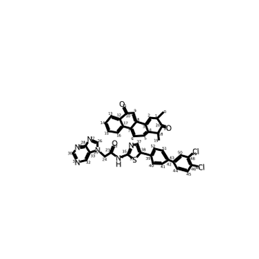 CC1C=c2c(ccc3c2=CC(=O)c2ccccc2-3)C(C)C1=O.O=C(Cn1cnc2ncncc21)Nc1ncc(-c2ccc(-c3ccc(Cl)c(Cl)c3)cc2)s1